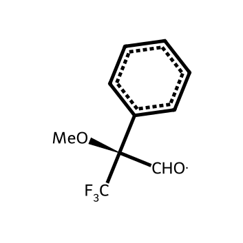 CO[C@]([C]=O)(c1ccccc1)C(F)(F)F